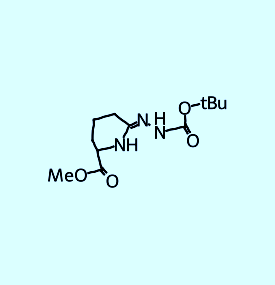 COC(=O)C1CCCC(=NNC(=O)OC(C)(C)C)N1